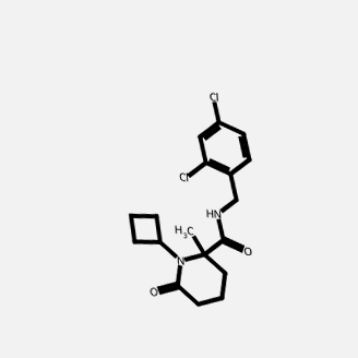 CC1(C(=O)NCc2ccc(Cl)cc2Cl)CCCC(=O)N1C1CCC1